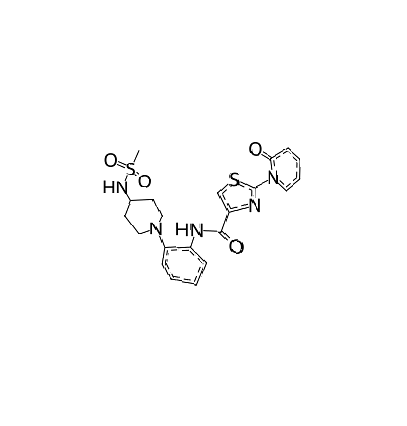 CS(=O)(=O)NC1CCN(c2ccccc2NC(=O)c2csc(-n3ccccc3=O)n2)CC1